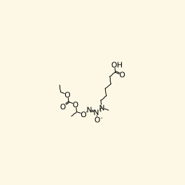 CCOC(=O)OC(C)O/N=[N+](\[O-])N(C)CCCCCC(=O)O